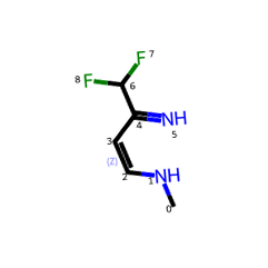 CN/C=C\C(=N)C(F)F